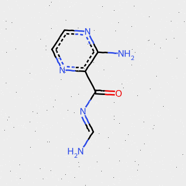 N/C=N/C(=O)c1nccnc1N